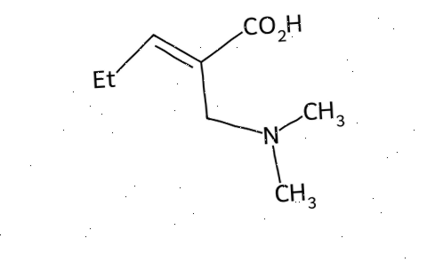 CCC=C(CN(C)C)C(=O)O